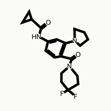 O=C(Nc1ccc(C(=O)N2CCC(F)(F)CC2)c(N2CCCC2)c1)C1CC1